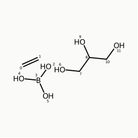 C=C.OB(O)O.OCC(O)CO